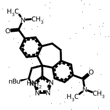 CCCC[C@H](N)CC1(c2nnn[nH]2)c2ccc(C(=O)N(C)C)cc2CCc2cc(C(=O)N(C)C)ccc21